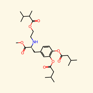 COC(=O)[C@H](Cc1ccc(OC(=O)CC(C)C)c(OC(=O)CC(C)C)c1)NCCOC(=O)C(C)C(C)C